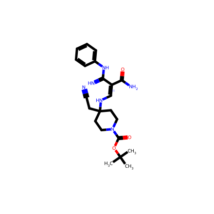 CC(C)(C)OC(=O)N1CCC(CC#N)(N/C=C(\C(=N)Nc2ccccc2)C(N)=O)CC1